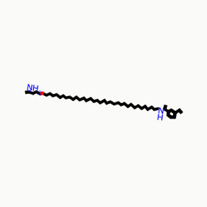 C=Cc1cccc(C(=C)NCCCCCCCCCCCCCCCCCCCCCCCCCCCCCCCCCCCCCCC(=C)N)c1